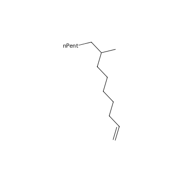 C=CCCCCCC(C)CCCCCC